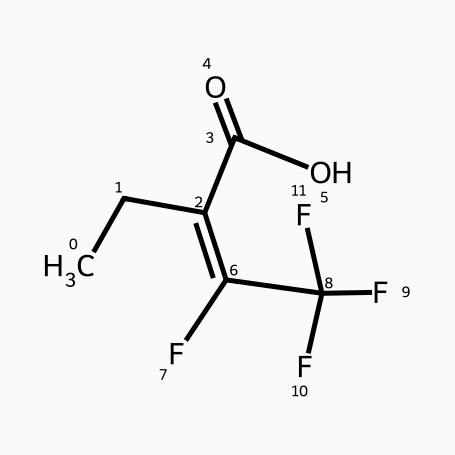 CCC(C(=O)O)=C(F)C(F)(F)F